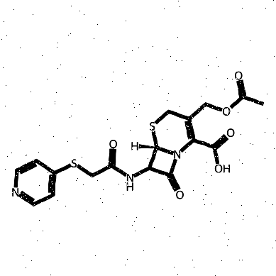 CC(=O)OCC1=C(C(=O)O)N2C(=O)C(NC(=O)CSc3ccncc3)[C@@H]2SC1